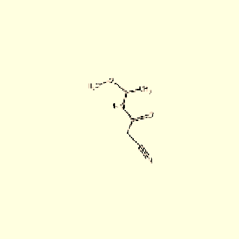 COC(C)NC(=O)CC#N